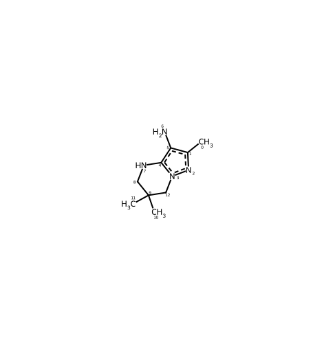 Cc1nn2c(c1N)NCC(C)(C)C2